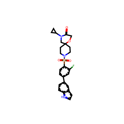 O=C1COC2(CCN(S(=O)(=O)c3ccc(-c4ccc5[nH]ccc5c4)cc3F)CC2)CN1C1CC1